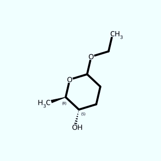 CCOC1CC[C@H](O)[C@@H](C)O1